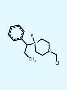 CCC(c1ccccc1)[N+]1(F)CCN(CCl)CC1